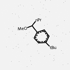 CCCC(OC)c1ccc(C(C)(C)C)cc1